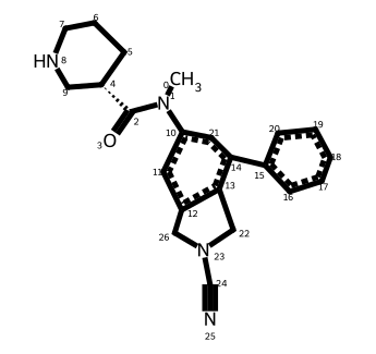 CN(C(=O)[C@H]1CCCNC1)c1cc2c(c(-c3ccccc3)c1)CN(C#N)C2